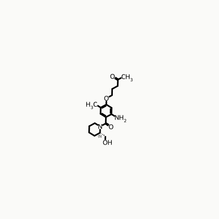 CC(=O)CCCOc1cc(N)c(C(=O)N2CCCC[C@H]2CO)cc1C